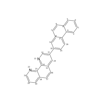 c1ccc2c(c1)ccc1cc(-c3cnc4c(ccc5cccnc54)c3)ccc12